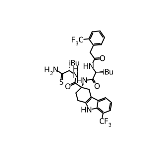 CCC(C)[C@H](NC(=O)Cc1ccccc1C(F)(F)F)C(=O)N[C@]1(C(=O)N[C@H](C(N)=S)C(C)CC)CCc2[nH]c3c(C(F)(F)F)cccc3c2C1